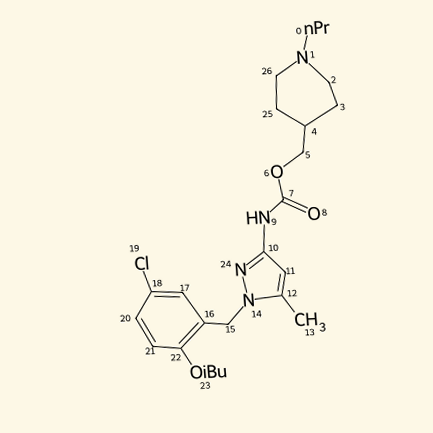 CCCN1CCC(COC(=O)Nc2cc(C)n(Cc3cc(Cl)ccc3OCC(C)C)n2)CC1